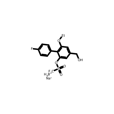 CCOc1cc(CO)cc(OS(=O)(=O)C(F)(F)F)c1-c1ccc(F)cc1.[BH4-].[Na+]